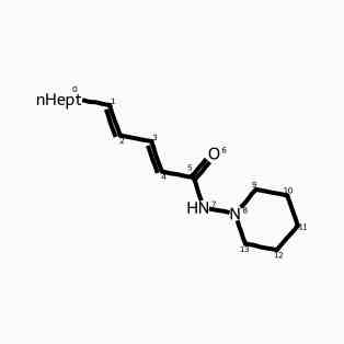 CCCCCCCC=CC=CC(=O)NN1CCCCC1